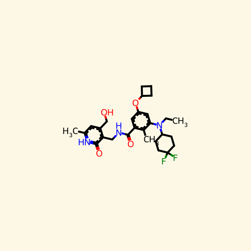 CCN(c1cc(OC2CCC2)cc(C(=O)NCc2c(CO)cc(C)[nH]c2=O)c1C)C1CCC(F)(F)CC1